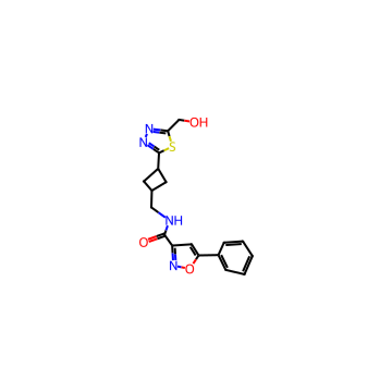 O=C(NCC1CC(c2nnc(CO)s2)C1)c1cc(-c2ccccc2)on1